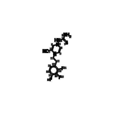 N#CC1=CN(NC(N)=S)C=CN1CCc1ccc(F)c(F)c1F